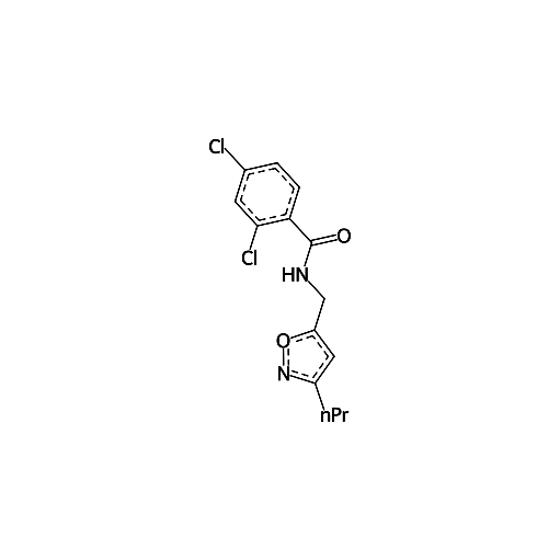 CCCc1cc(CNC(=O)c2ccc(Cl)cc2Cl)on1